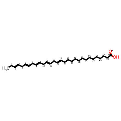 CCC=CCC=CCC=CCC=CCC=CCCCCCCCCCCCCCC(=O)O